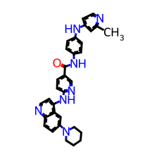 Cc1cc(Nc2ccc(NC(=O)c3ccc(Nc4ccnc5ccc(N6CCCCC6)cc45)nc3)cc2)ccn1